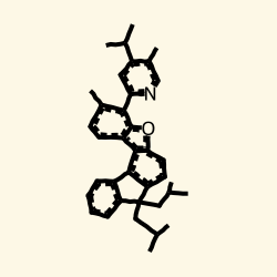 Cc1cnc(-c2c(C)ccc3c2oc2ccc4c(c23)-c2ccccc2C4(CC(C)C)CC(C)C)cc1C(C)C